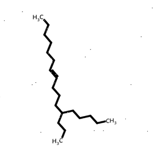 CCCCCCC=CCCCC(CCC)CCCCC